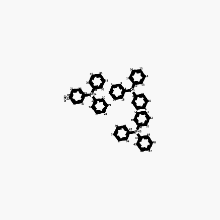 [Ru].c1ccc(P(c2ccccc2)c2ccccc2)cc1.c1ccc(P(c2ccccc2)c2ccccc2)cc1.c1ccc(P(c2ccccc2)c2ccccc2)cc1